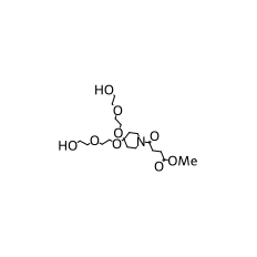 COC(=O)CCC(=O)N1CCC(OCCOCCO)(OCCOCCO)CC1